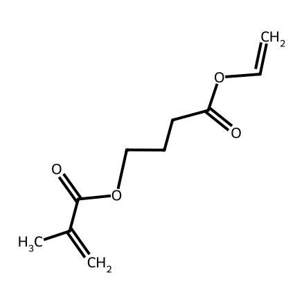 C=COC(=O)CCCOC(=O)C(=C)C